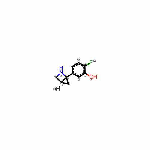 Oc1cc(C23C[C@H]2CN3)ccc1F